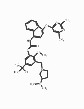 COc1c(CN2CCC(N(C)C)C2)cc(C(C)(C)C)cc1NC(=O)Nc1ccc(Oc2cc(C)nc(N)n2)c2ccccc12